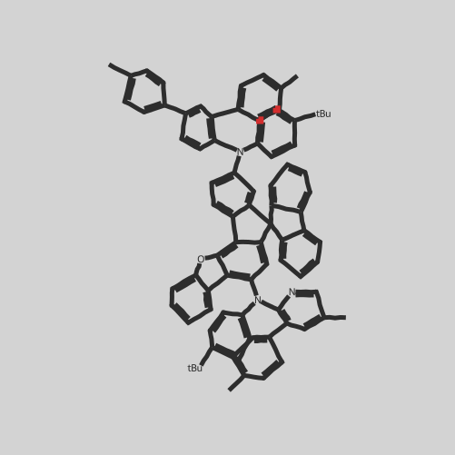 Cc1ccc(-c2ccc(N(c3ccc(C(C)(C)C)cc3)c3ccc4c(c3)C3(c5ccccc5-c5ccccc53)c3cc(N(c5ccc(C(C)(C)C)cc5)c5ncc(C)cc5-c5ccc(C)cc5)c5c(oc6ccccc65)c3-4)c(-c3ccc(C)cc3)c2)cc1